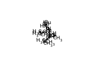 CC(C)(C)OC(=O)Nc1cnc2nc(-c3nn(COCC[Si](C)(C)C)c4c3C[C@@H]3C[C@]3(C)C4)n(COCC[Si](C)(C)C)c2c1